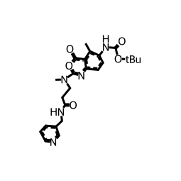 Cc1c(NC(=O)OC(C)(C)C)ccc2nc(N(C)CCC(=O)NCc3cccnc3)oc(=O)c12